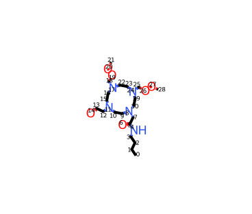 CCCCNC(=O)CN1CCN(CC=O)CCN(COOC)CCN(COOC)CC1